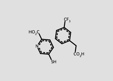 O=C(O)Cc1cccc(C(F)(F)F)c1.O=C(O)c1ccc(S)cn1